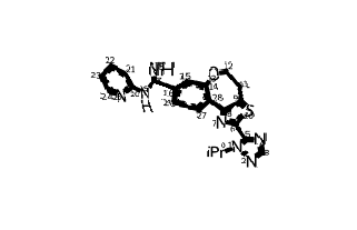 CC(C)n1ncnc1-c1nc2c(s1)CCOc1cc(C(=N)Nc3ccccn3)ccc1-2